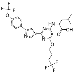 CC(C)CC(Nc1cc(OCCCC(F)(F)F)nc(-n2cnc(-c3ccc(OC(F)(F)F)cc3)c2)n1)C(=O)O